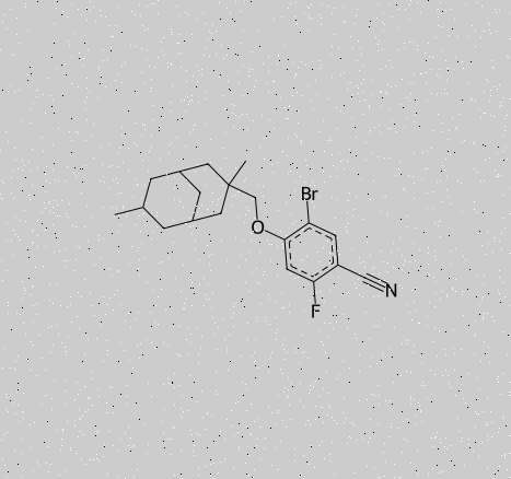 CC1CC2CC(C1)CC(C)(COc1cc(F)c(C#N)cc1Br)C2